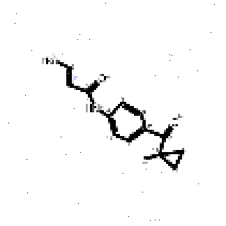 CC(C)(C)/C=C/C(=O)Nc1ccc(C(=O)C2(C)CC2)cc1